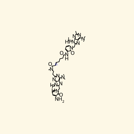 Cc1nc(N(C)C)c2nc(Cn3cccc(NC(=O)CCC/C=C/C(=O)N(C)CCc4nc(N(C)C)c5nc(Cn6cccc(N)c6=O)n(PI)c5n4)c3=O)n(PI)c2n1